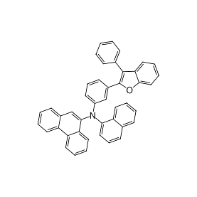 c1ccc(-c2c(-c3cccc(N(c4cccc5ccccc45)c4cc5ccccc5c5ccccc45)c3)oc3ccccc23)cc1